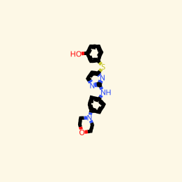 Oc1cccc(Sc2ccnc(Nc3ccc(N4CCOCC4)cc3)n2)c1